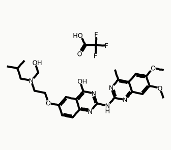 COc1cc2nc(Nc3nc(O)c4cc(OCCN(CO)CC(C)C)ccc4n3)nc(C)c2cc1OC.O=C(O)C(F)(F)F